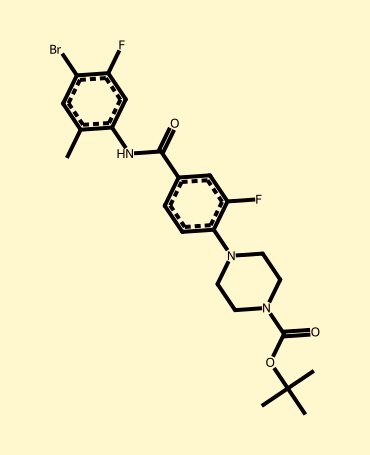 Cc1cc(Br)c(F)cc1NC(=O)c1ccc(N2CCN(C(=O)OC(C)(C)C)CC2)c(F)c1